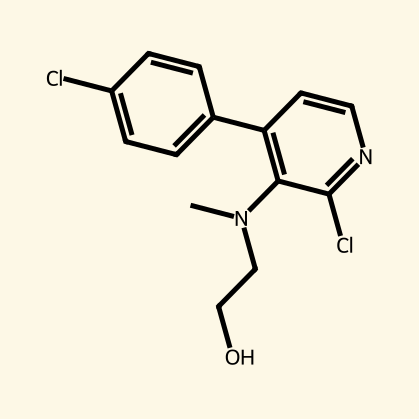 CN(CCO)c1c(-c2ccc(Cl)cc2)ccnc1Cl